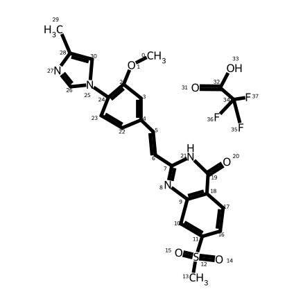 COc1cc(/C=C/c2nc3cc(S(C)(=O)=O)ccc3c(=O)[nH]2)ccc1-n1cnc(C)c1.O=C(O)C(F)(F)F